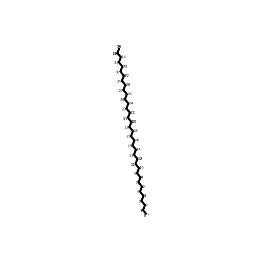 [CH2]CCCCCCCCCCCCCCCCCCCCCCCCCCCCCCCCCCCC